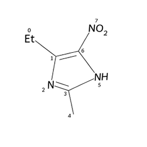 [CH2]Cc1nc(C)[nH]c1[N+](=O)[O-]